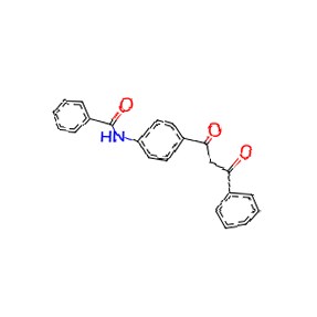 O=C(CC(=O)c1ccc(NC(=O)c2ccccc2)cc1)c1ccccc1